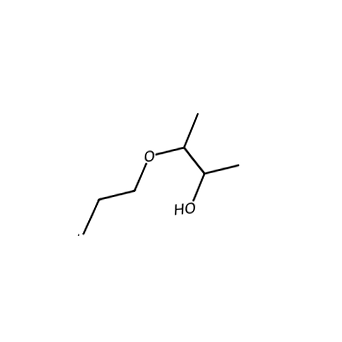 [CH2]CCOC(C)C(C)O